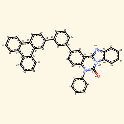 O=c1n(-c2ccccc2)c2ccc(-c3cccc(-c4ccc5c6ccccc6c6ccccc6c5c4)c3)cc2c2nc3ccccc3n12